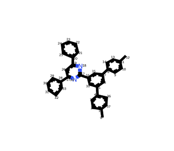 Cc1ccc(-c2cc(-c3ccc(C)cc3)cc(-c3nc(-c4ccccc4)cc(-c4ccccc4)n3)c2)cc1